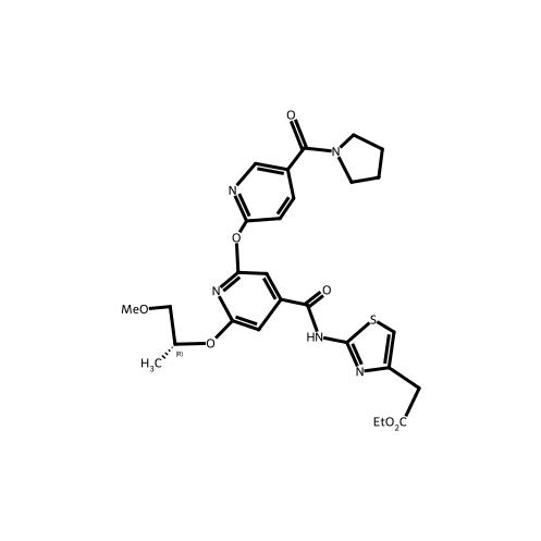 CCOC(=O)Cc1csc(NC(=O)c2cc(Oc3ccc(C(=O)N4CCCC4)cn3)nc(O[C@H](C)COC)c2)n1